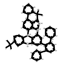 CC(C)(C)c1ccc2c(c1)Oc1cc(-c3c(-c4ccccc4)cccc3-c3ccccc3)cc3c1B2c1ccc2c4c(nn-3c14)C(C)(C)c1ccccc1-2